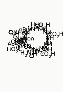 CCCCCCCCCC(=O)NC(Cc1c[nH]c2ccccc12)C(=O)NC(CC(C)=O)C(=O)NC(CC(=O)O)C(=O)NC1C(=O)NCC(=O)NC(CCCC)C(=O)NC(CC(=O)O)C(=O)NC(C)C(=O)NC(CC(=O)O)C(=O)NCC(=O)NC(CO)C(=O)NC(C(C)CC(=O)O)C(=O)NC(CC(=O)c2ccccc2N)C(=O)OC1C